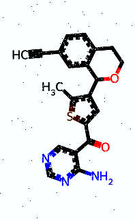 C#Cc1ccc2c(c1)C(c1cc(C(=O)c3cncnc3N)sc1C)OCC2